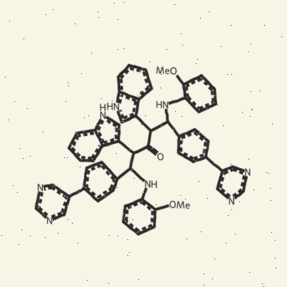 COc1ccccc1NC(c1ccc(-c2cncnc2)cc1)C(C(=O)C(c1c[nH]c2ccccc12)C(Nc1ccccc1OC)c1ccc(-c2cncnc2)cc1)c1c[nH]c2ccccc12